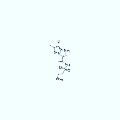 CCCCCCCCCCCCS(=O)(=O)NC(C)c1c[nH]c2c(Cl)c(C)nn12